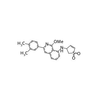 COc1nc(-c2ccc(C)c(C)c2)cc2cccc(NC3C=CS(=O)(=O)C3)c12